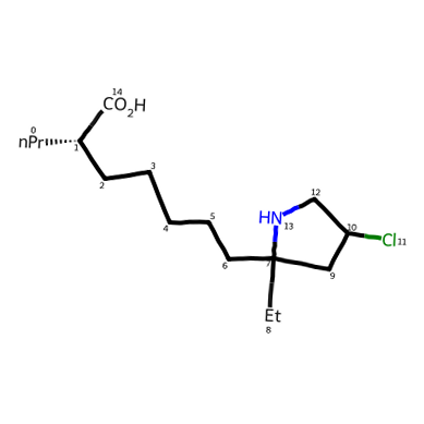 CCC[C@@H](CCCCCC1(CC)CC(Cl)CN1)C(=O)O